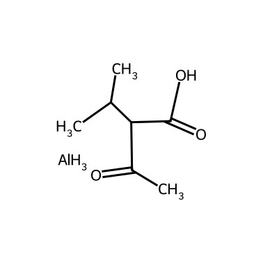 CC(=O)C(C(=O)O)C(C)C.[AlH3]